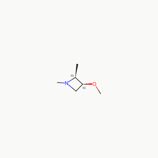 CO[C@H]1CN(C)[C@H]1C